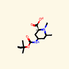 CC1CC(NC(=O)OC(C)(C)C)C[C@@H](C(=O)O)N1C